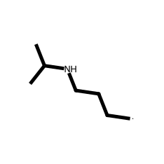 [CH2]CCCNC(C)C